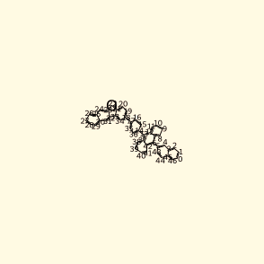 c1ccc2cc(-c3c4ccccc4c(-c4ccc(-c5ccc6oc7cc8ccccc8cc7c6c5)cc4)c4ccccc34)ccc2c1